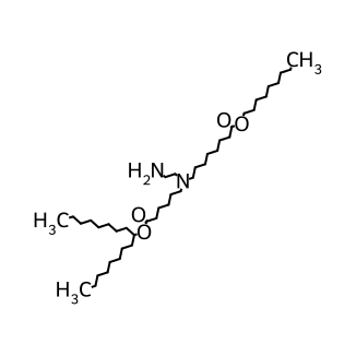 CCCCCCCCCOC(=O)CCCCCCCN(CCN)CCCCCC(=O)OC(CCCCCCCC)CCCCCCCC